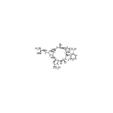 N=C(N)NCCC[C@@H]1NC(=O)[C@H](CCC(=O)O)NC(=O)[C@@H](Cc2ccccc2)NC(=O)[C@H](CC(=O)O)NC(=O)CNC1=O